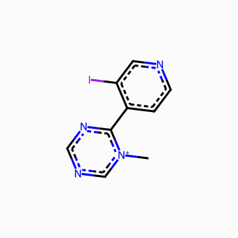 C[n+]1cncnc1-c1ccncc1I